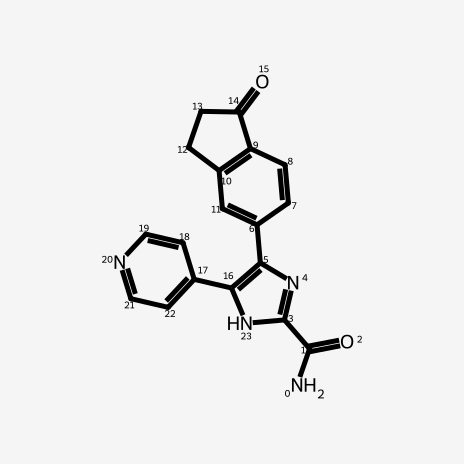 NC(=O)c1nc(-c2ccc3c(c2)CCC3=O)c(-c2ccncc2)[nH]1